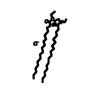 CCCCCCCCCCCCCCCCCC(=O)OCC.CCCCCCCCCCCCCCCCCC1=[N+](CC)CCN1.[Cl-]